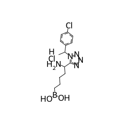 CC(c1ccc(Cl)cc1)n1nnnc1C(N)CCCCB(O)O.Cl